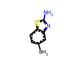 Bc1ccc2sc(N)nc2c1